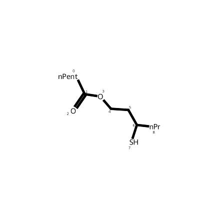 CCCCCC(=O)OCCC(S)CCC